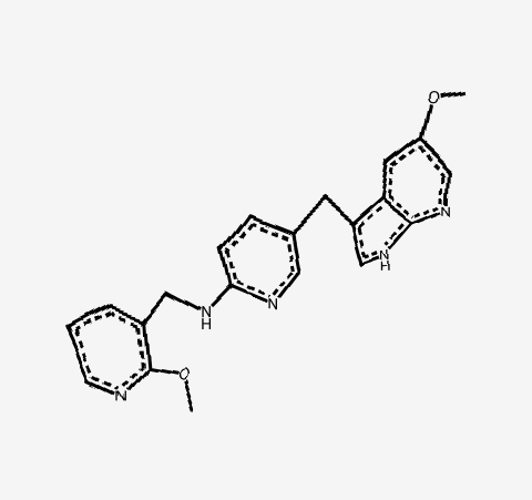 COc1cnc2[nH]cc(Cc3ccc(NCc4cccnc4OC)nc3)c2c1